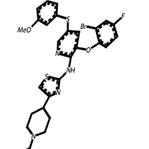 COc1cccc(Sc2cnc(Nc3nc(C4CCN(CC=O)CC4)cs3)c(Oc3ccc(F)cc3Br)c2)c1